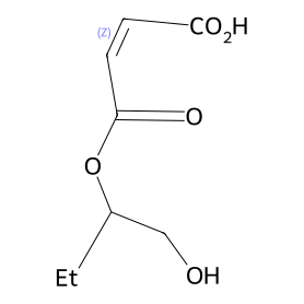 CCC(CO)OC(=O)/C=C\C(=O)O